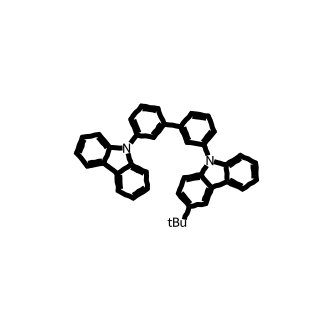 CC(C)(C)c1ccc2c(c1)c1ccccc1n2-c1cccc(-c2cccc(-n3c4ccccc4c4ccccc43)c2)c1